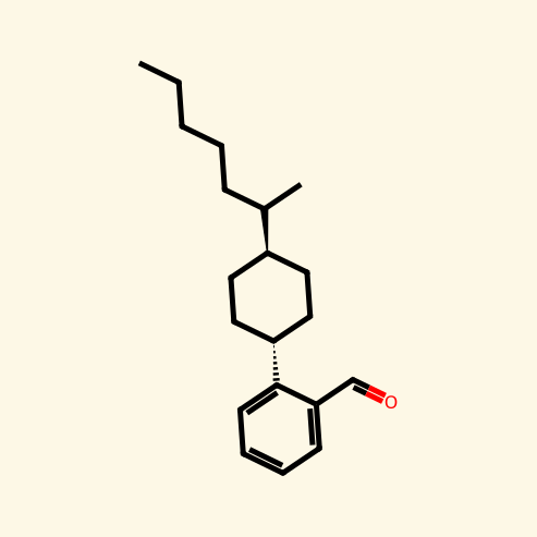 CCCCCC(C)[C@H]1CC[C@H](c2ccccc2C=O)CC1